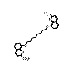 O=C(O)c1ccc2cccc(OCCCCCCCCOc3cccc4ccc(C(=O)O)nc34)c2n1